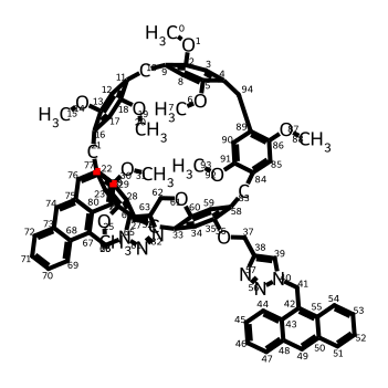 COc1cc2c(OC)cc1Cc1cc(OC)c(cc1OC)Cc1cc(OC)c(cc1OC)Cc1cc(OCc3cn(Cc4c5ccccc5cc5ccccc45)nn3)c(cc1OCc1cn(Cc3c4ccccc4cc4ccccc34)nn1)Cc1cc(OC)c(cc1OC)C2